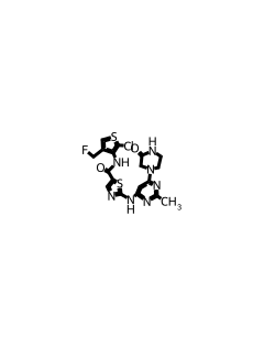 Cc1nc(Nc2ncc(C(=O)Nc3c(CF)csc3Cl)s2)cc(N2CCNC(=O)C2)n1